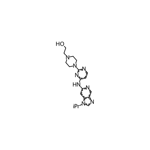 CC(C)n1cnc2cnc(Nc3ccnc(N4CCN(CCO)CC4)n3)cc21